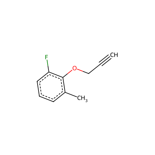 C#CCOc1c(C)cccc1F